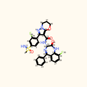 CS(=N)(=O)c1ccc(-c2nn3c(c2C(=O)N[C@H]2N=C(c4ccccc4)c4cccc(F)c4NC2=O)OCCC3)c(F)c1